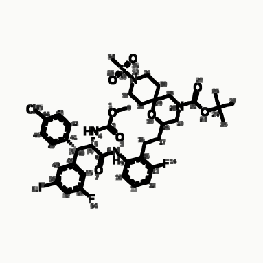 COC(=O)N[C@H](C(=O)Nc1cccc(F)c1CCC1CN(C(=O)OC(C)(C)C)CC2(CCN(S(C)(=O)=O)CC2)O1)[C@@H](c1ccc(Cl)cc1)c1cc(F)cc(F)c1